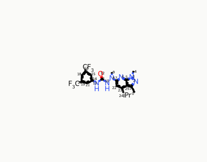 Cc1nn(C)c2nc(N(C)NC(=O)Nc3cc(C(F)(F)F)cc(C(F)(F)F)c3)cc(C(C)C)c12